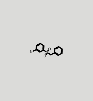 O=S(=O)(Cc1c[c]ccc1)c1cccc(Br)c1